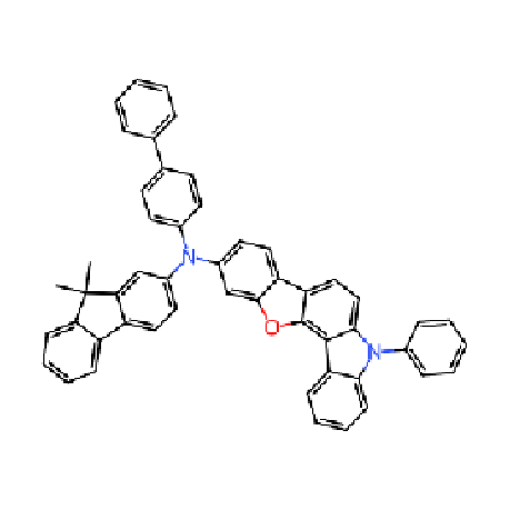 CC1(C)c2ccccc2-c2ccc(N(c3ccc(-c4ccccc4)cc3)c3ccc4c(c3)oc3c4ccc4c3c3ccccc3n4-c3ccccc3)cc21